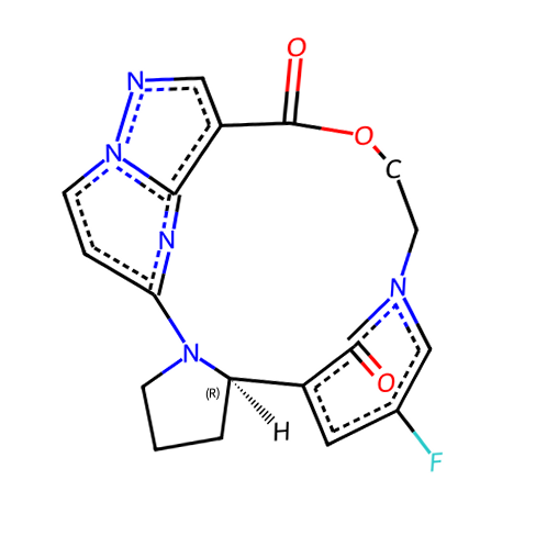 O=C1OCCn2cc(F)cc(c2=O)[C@H]2CCCN2c2ccn3ncc1c3n2